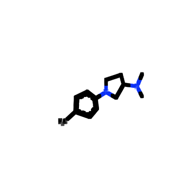 CN(C)C1CCN(c2[c]cc(C(F)(F)F)cc2)C1